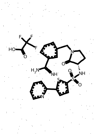 N=C(N)c1cccc(CN2CC[C@H](NS(=O)(=O)c3ccc(-c4ccccn4)s3)C2=O)c1.O=C(O)C(F)(F)F